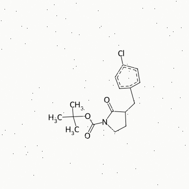 CC(C)(C)OC(=O)N1CCC(Cc2ccc(Cl)cc2)C1=O